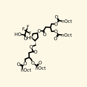 CCCCCCCCC(=O)OCC(COC(=O)CCCCCCCC)CC(=O)OC[C@H]1C[C@@H](OC(=O)CC(COC(=O)CCCCCCCC)COC(=O)CCCCCCCC)CN1.O=C(O)C(F)(F)F